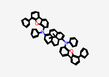 CC12C3=CCC4C(N(c5ccccc5)c5cccc6c5oc5c(-c7ccccc7)cccc56)=CC=C(C=CC1=C(N(c1ccccc1)c1cccc5c1oc1c(-c6ccccc6)cccc15)C=C3)C42C